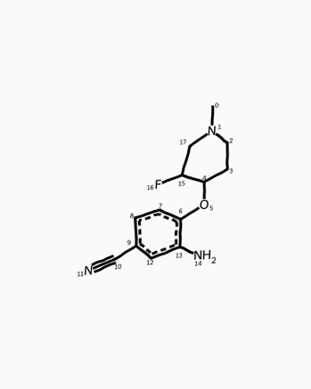 CN1CCC(Oc2ccc(C#N)cc2N)C(F)C1